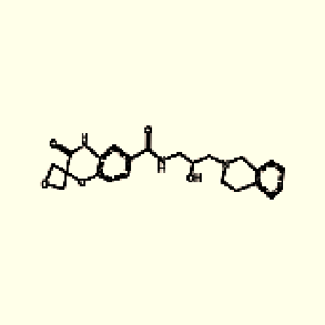 O=C(NCC(O)CN1CCc2ccccc2C1)c1ccc2c(c1)NC(=O)C1(COC1)O2